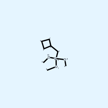 CO[Si](CC1CCC1)(OC)OC